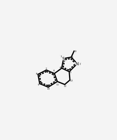 Cc1nc2c(s1)-c1ccccc1CC2